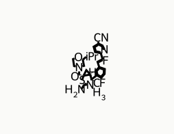 CC(C)C1CN(C(=O)[C@]23C[C@H]2[C@@](C)(c2cc(/C=C(\F)c4ccc(C#N)cn4)ccc2F)N=C(N)S3)CCO1